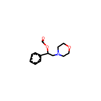 O=COC(CN1CCOCC1)c1ccccc1